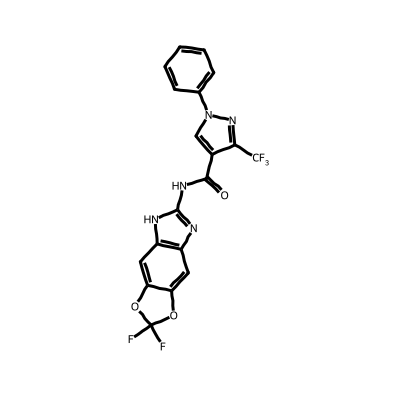 O=C(Nc1nc2cc3c(cc2[nH]1)OC(F)(F)O3)c1cn(-c2ccccc2)nc1C(F)(F)F